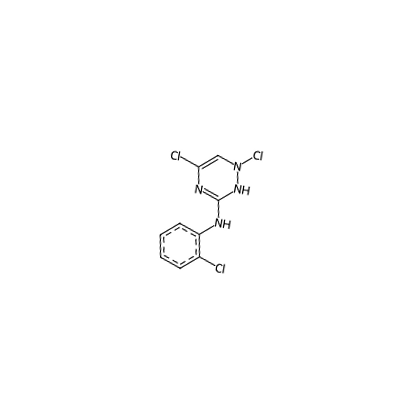 ClC1=CN(Cl)NC(Nc2ccccc2Cl)=N1